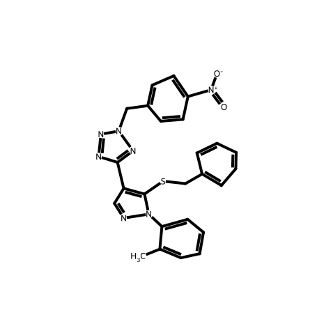 Cc1ccccc1-n1ncc(-c2nnn(Cc3ccc([N+](=O)[O-])cc3)n2)c1SCc1ccccc1